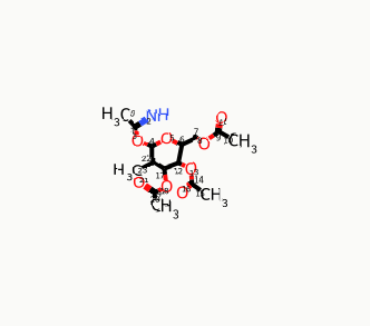 CC(=N)OC1OC(COC(C)=O)C(OC(C)=O)C(OC(C)=O)C1C